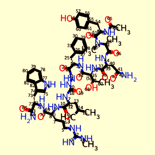 CNC(=N)NCCC[C@H](NC(=O)[C@H](CC(C)C)NC(=O)NNC(=O)[C@H](Cc1ccccc1)NC(=O)[C@@H](NC(=O)[C@H](CC(N)=O)NC(=O)[C@@H](C)N(C)C(=O)[C@@H](Cc1ccc(O)cc1)NC(C)=O)[C@@H](C)O)C(=O)N[C@@H](Cc1c[nH]c2ccccc12)C(N)=O